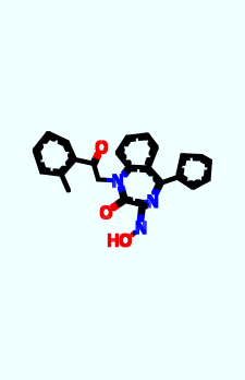 Cc1ccccc1C(=O)Cn1c(=O)c(=NO)nc(-c2ccccc2)c2ccccc21